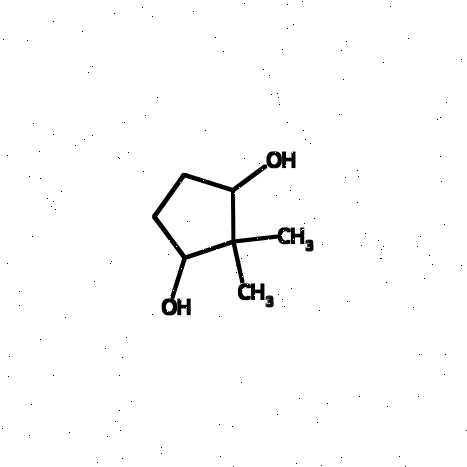 CC1(C)C(O)CCC1O